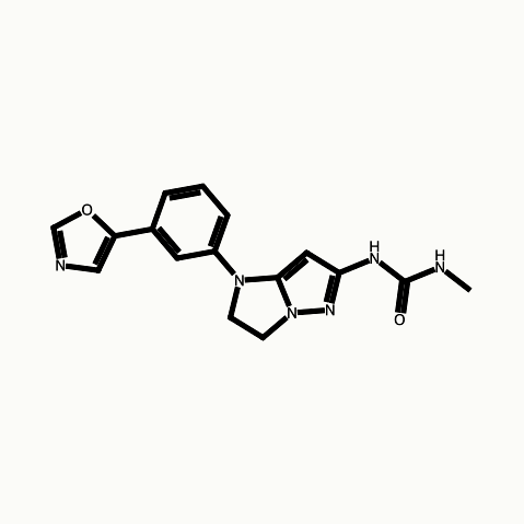 CNC(=O)Nc1cc2n(n1)CCN2c1cccc(-c2cnco2)c1